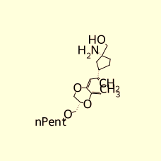 C=C(/C=C1/OC[C@@H](COCCCCC)O/C1=C/C)[C@H]1CC[C@](N)(CO)C1